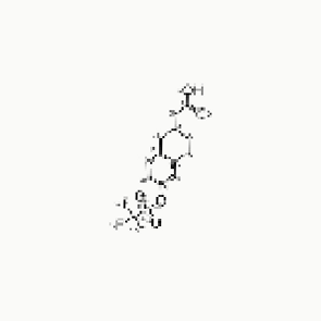 O=C(O)CC1CCc2cc(OS(=O)(=O)C(F)(F)F)ccc2C1